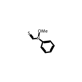 CON([C]=S)c1ccccc1